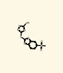 CCCc1nnc(Sc2nc3ccc(S(C)(=O)=O)cc3s2)s1